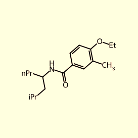 CCCC(CC(C)C)NC(=O)c1ccc(OCC)c(C)c1